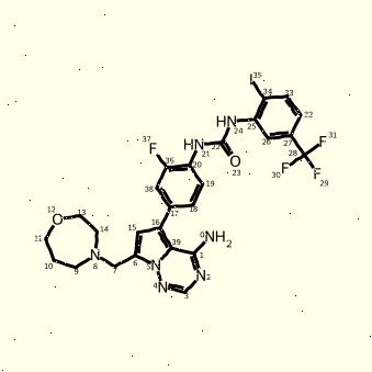 Nc1ncnn2c(CN3CCCOCC3)cc(-c3ccc(NC(=O)Nc4cc(C(F)(F)F)ccc4I)c(F)c3)c12